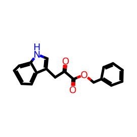 O=C(Cc1c[nH]c2ccccc12)C(=O)OCc1ccccc1